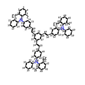 CCc1cccc(C)c1N(c1ccccc1)c1ccc(/C=C/c2cc(/C=C/c3ccc(N(c4ccccc4)c4c(C)cccc4CC)cc3)cc(/C=C/c3ccc(N(c4ccccc4)c4c(C)cccc4CC)cc3)c2)cc1